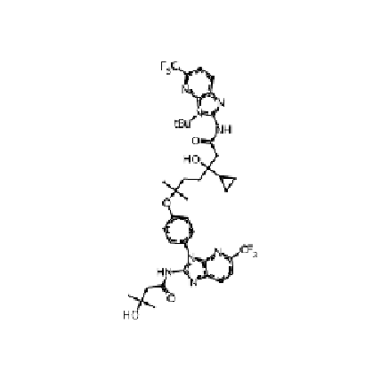 CC(C)(O)CC(=O)Nc1nc2ccc(C(F)(F)F)nc2n1-c1ccc(OC(C)(C)CCC(O)(CC(=O)Nc2nc3ccc(C(F)(F)F)nc3n2C(C)(C)C)C2CC2)cc1